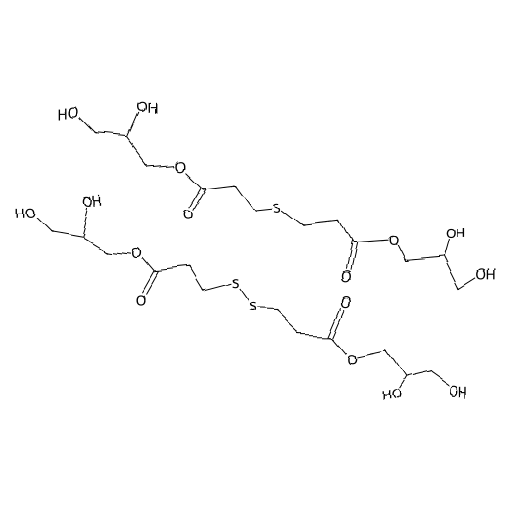 O=C(CCSCCC(=O)OCC(O)CO)OCC(O)CO.O=C(CCSSCCC(=O)OCC(O)CO)OCC(O)CO